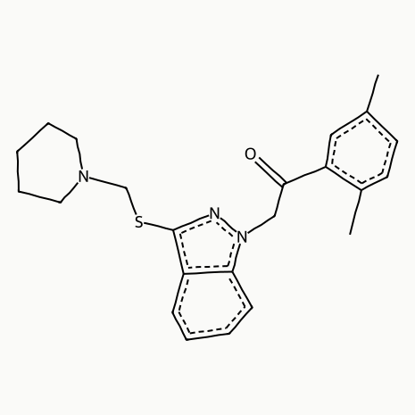 Cc1ccc(C)c(C(=O)Cn2nc(SCN3CCCCC3)c3ccccc32)c1